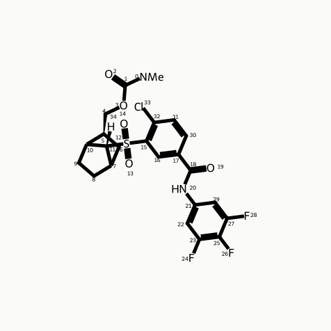 CNC(=O)OC[C@H]1CC2CCC1[C@@H]2S(=O)(=O)c1cc(C(=O)Nc2cc(F)c(F)c(F)c2)ccc1Cl